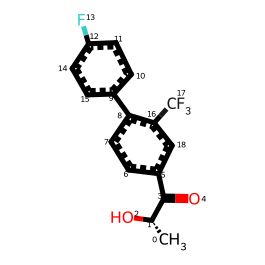 C[C@H](O)C(=O)c1ccc(-c2ccc(F)cc2)c(C(F)(F)F)c1